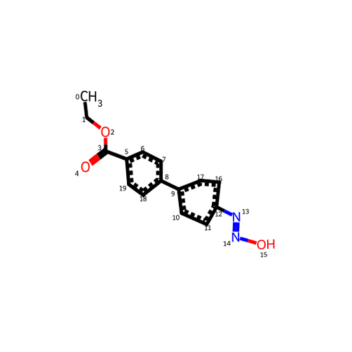 CCOC(=O)c1ccc(-c2ccc(N=NO)cc2)cc1